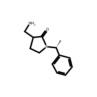 C[C@H](c1ccccc1)N1CCC(CN)C1=O